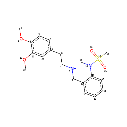 COc1ccc(CCNCc2ccccc2N(C)S(C)(=O)=O)cc1OC